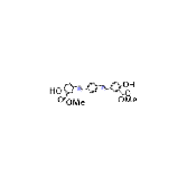 COC(=O)c1cc(/C=C/c2ccc(/C=C/c3ccc(O)c(C(=O)OC)c3)cc2)ccc1O